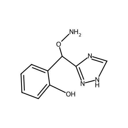 NOC(c1nc[nH]n1)c1ccccc1O